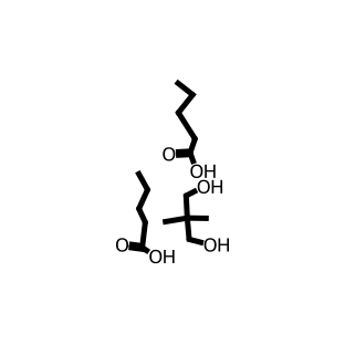 CC(C)(CO)CO.CCCCC(=O)O.CCCCC(=O)O